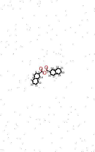 O=C(OC(=O)c1ccc2ccccc2c1)c1ccc2ccccc2c1